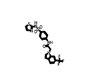 O=C(Cn1ccc2ccc(C(F)(F)F)cc21)Nc1ccc(S(=O)(=O)Nc2nccs2)cc1